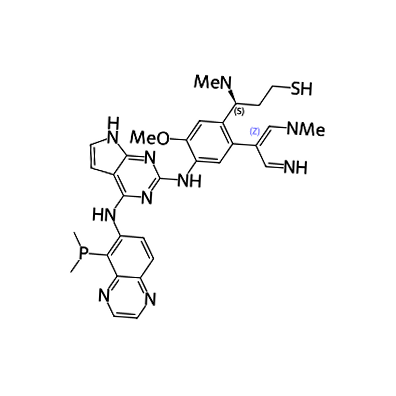 CN/C=C(\C=N)c1cc(Nc2nc(Nc3ccc4nccnc4c3P(C)C)c3cc[nH]c3n2)c(OC)cc1[C@H](CCS)NC